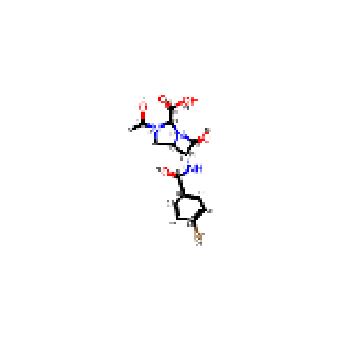 CC(=O)N1CC2[C@@H](NC(=O)c3ccc(Br)cc3)C(=O)N2C1C(=O)O